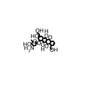 CC1O[C@@H](O[C@H]2C[C@](O)(CCO)Cc3c(O)c4c(c(O)c32)C(=O)c2c(CO)cccc2C4=O)CC(N)[C@@H]1O